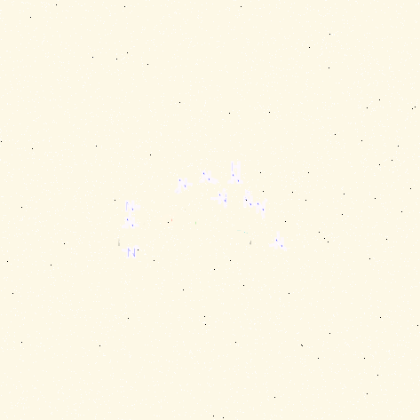 CN1CC(n2nc(Nc3nc4ncc(Oc5cnn6ccncc56)c(Cl)c4n3C)cc2C(C)(C)C)[C@H](F)C1